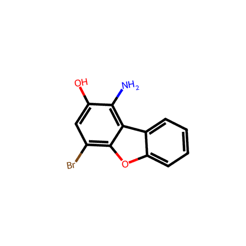 Nc1c(O)cc(Br)c2oc3ccccc3c12